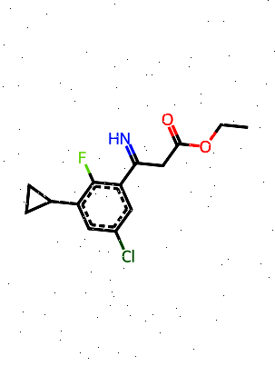 CCOC(=O)CC(=N)c1cc(Cl)cc(C2CC2)c1F